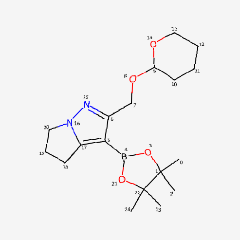 CC1(C)OB(c2c(COC3CCCCO3)nn3c2CCC3)OC1(C)C